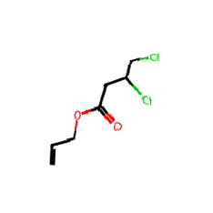 C=CCOC(=O)CC(Cl)CCl